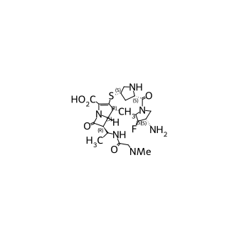 CNCC(=O)NC(C)[C@H]1C(=O)N2C(C(=O)O)=C(S[C@@H]3CN[C@H](C(=O)N4C[C@H](N)[C@@H](F)C4)C3)[C@H](C)[C@H]12